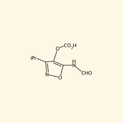 CC(C)c1noc(NC=O)c1OC(=O)O